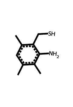 Cc1cc(C)c(CS)c(N)c1C